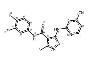 Cc1nsc(Nc2cc(C#N)ccn2)c1C(=O)Nc1ccc(F)c(F)c1